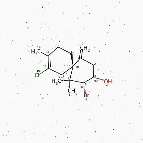 C=C1C[C@H](O)[C@H](Br)C(C)(C)[C@@]12CCC(C)=C(Cl)C2